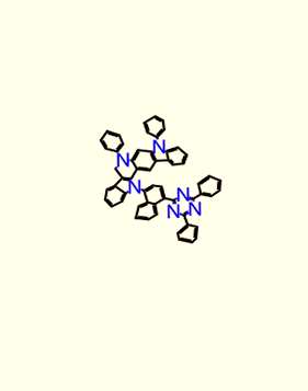 c1ccc(-c2nc(-c3ccccc3)nc(-c3ccc(-n4c5c(c6ccccc64)CN(c4ccccc4)c4cc6c(cc4-5)c4ccccc4n6-c4ccccc4)c4ccccc34)n2)cc1